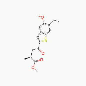 CCc1cc2sc(C(=O)C[C@H](C)C(=O)OC)cc2cc1OC